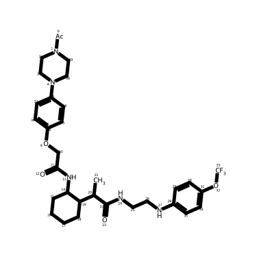 CC(=O)N1CCN(c2ccc(OCC(=O)NC3CCCCC3C(C)C(=O)NCCNc3ccc(OC(F)(F)F)cc3)cc2)CC1